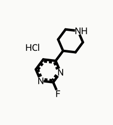 Cl.Fc1nccc(C2CCNCC2)n1